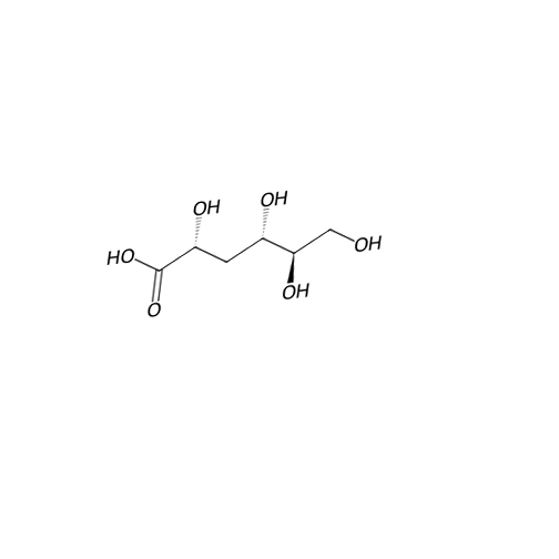 O=C(O)[C@H](O)C[C@H](O)[C@H](O)CO